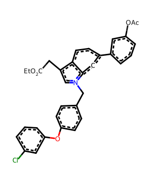 CCOC(=O)Cc1cn(Cc2ccc(Oc3cccc(Cl)c3)cc2)c2cc(-c3cccc(OC(C)=O)c3)ccc12